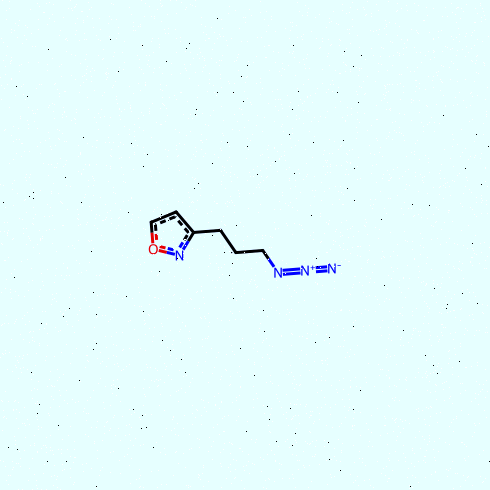 [N-]=[N+]=NC[CH]Cc1ccon1